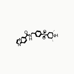 C[C@@H]1CC(S(=O)(=O)c2ccc(CNC(=O)c3ccc4nccn4c3)cc2)C[C@H](C)N1